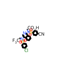 N#Cc1ccc(S(=O)(=O)N(CC(=O)O)c2ncc(N(CC(F)(F)F)S(=O)(=O)c3ccc(Cl)cc3)c3ccccc23)cc1